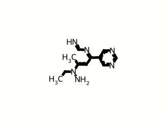 CCN(N)/C(C)=C/C(=N\C=N)c1cncnc1